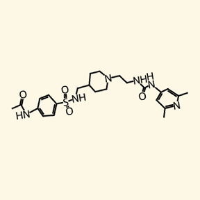 CC(=O)Nc1ccc(S(=O)(=O)NCC2CCN(CCNC(=O)Nc3cc(C)nc(C)c3)CC2)cc1